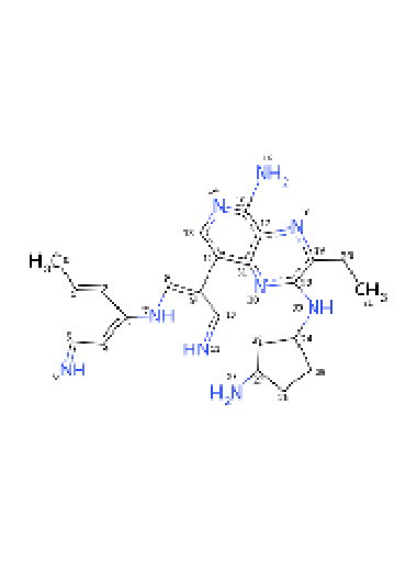 C/C=C/C(=C\C=N)N/C=C(\C=N)c1cnc(N)c2nc(CC)c(NC3CCC(N)C3)nc12